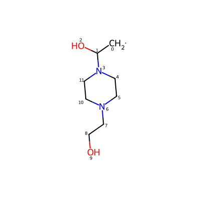 [CH2]C(O)N1CCN(CCO)CC1